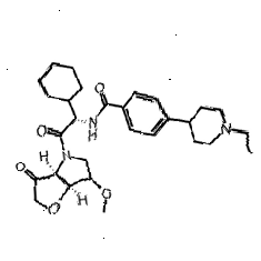 CCN1CCC(c2ccc(C(=O)N[C@H](C(=O)N3C[C@@H](OC)[C@H]4OCC(=O)[C@H]43)C3CCCCC3)cc2)CC1